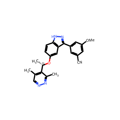 COc1cc(C#N)cc(-c2n[nH]c3ccc(O[C@@H](C)c4c(C)cnnc4C)cc23)c1